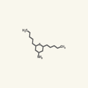 CCCCCC1CC(N)CC(CCCCC)S1